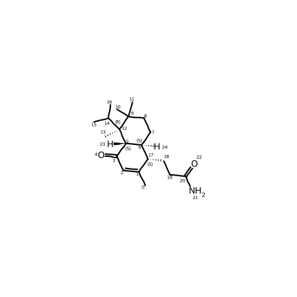 CC1=CC(=O)[C@H]2[C@@H](CCC(C)(C)[C@]2(C)C(C)C)[C@@H]1CCC(N)=O